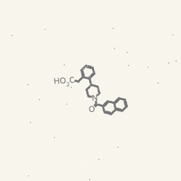 O=C(O)Cc1ccccc1C1CCN(C(=O)c2ccc3ccccc3c2)CC1